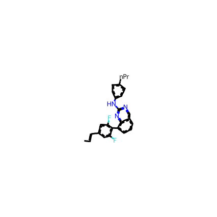 C/C=C/c1cc(F)c(-c2cccc3cnc(Nc4ccc(CCC)cc4)nc23)c(F)c1